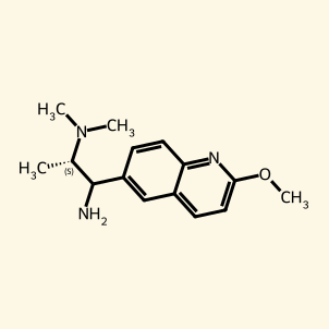 COc1ccc2cc(C(N)[C@H](C)N(C)C)ccc2n1